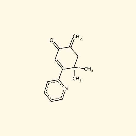 C=C1CC(C)(C)C(c2ccccn2)=CC1=O